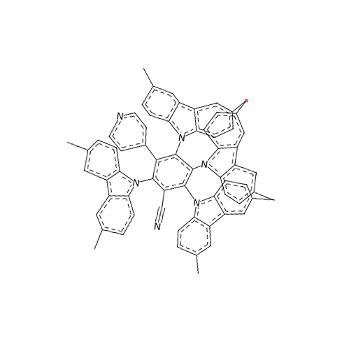 Cc1ccc2c(c1)c1cc(C)ccc1n2-c1c(C#N)c(-n2c3ccc(C)cc3c3cc(C)ccc32)c(-n2c3ccc(C)cc3c3cc(C)ccc32)c(-n2c3ccc(C)cc3c3cc(C)ccc32)c1-c1ccncc1